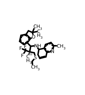 CCSC[C@@](C)(C(NC1CC=Cc2nc(C)ccc21)c1cccc2c1OC(C)(C)C2)C(F)(F)F